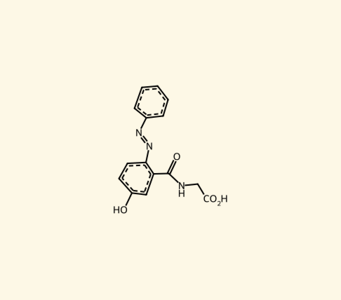 O=C(O)CNC(=O)c1cc(O)ccc1N=Nc1ccccc1